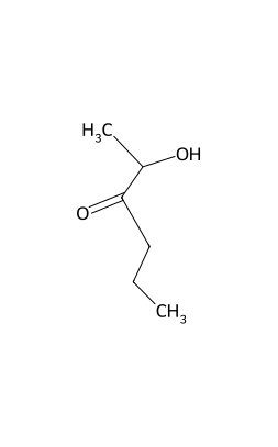 CCCC(=O)C(C)O